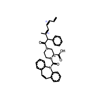 C=C/C=C\C=C(/C)C(C(=O)N1CCN(C(=O)N2c3ccccc3C=Cc3ccccc32)[C@H](C(=O)O)C1)c1ccccc1